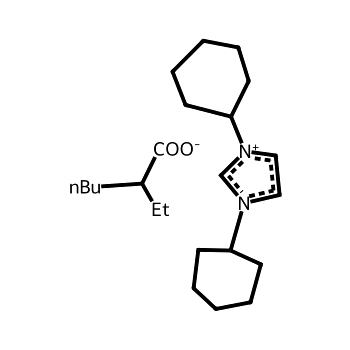 CCCCC(CC)C(=O)[O-].c1c[n+](C2CCCCC2)cn1C1CCCCC1